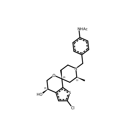 CC(=O)Nc1ccc(CN2CC[C@]3(C[C@@H]2C)OC[C@H](O)c2cc(Cl)sc23)cc1